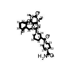 Cn1c(=O)c2c(nc(N3CCCC(C(=O)N4CCN(C(N)=O)CC4)C3)n2Cc2c(F)cccc2Cl)n(C)c1=O